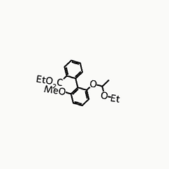 CCOC(=O)c1ccccc1-c1c(OC)cccc1OC(C)OCC